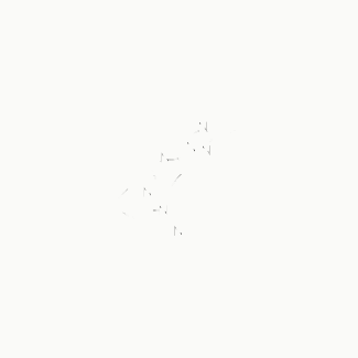 N#CN=c1ccccn1-c1ccc(-n2cnc(Cl)n2)nc1